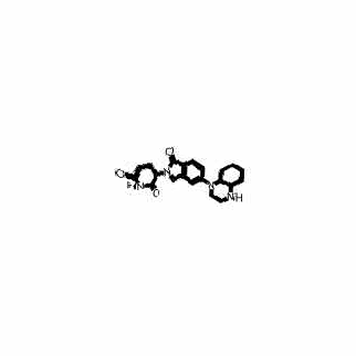 O=C1CCC(N2Cc3cc(N4CCNC5CCCCC54)ccc3C2=O)C(=O)N1